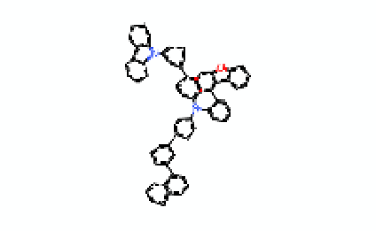 c1cc(-c2ccc(N(c3ccc(-c4cccc(-n5c6ccccc6c6ccccc65)c4)cc3)c3ccccc3-c3cccc4oc5ccccc5c34)cc2)cc(-c2cccc3ccccc23)c1